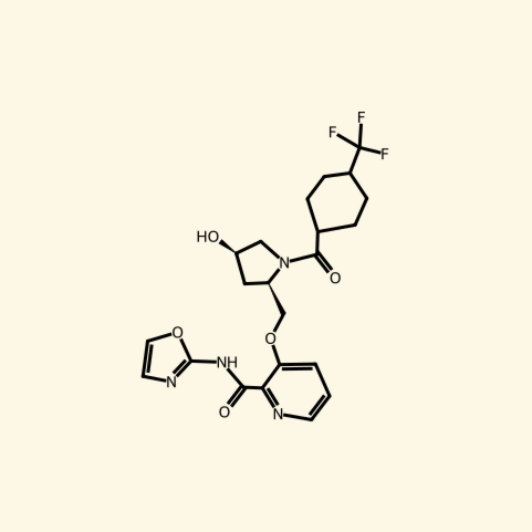 O=C(Nc1ncco1)c1ncccc1OC[C@H]1C[C@@H](O)CN1C(=O)C1CCC(C(F)(F)F)CC1